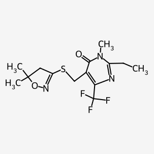 CCc1nc(C(F)(F)F)c(CSC2=NOC(C)(C)C2)c(=O)n1C